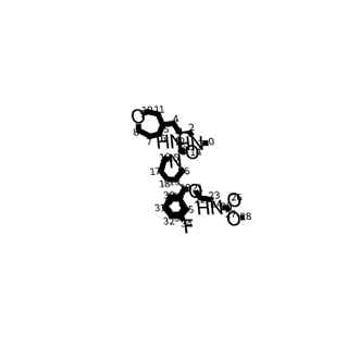 CNC[C@H](CC1CCCOCC1)NC(=O)N1CCC[C@@H](C(OCCNC(=O)OC)c2cccc(F)c2)C1